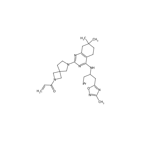 C=CC(=O)N1CC2(CCN(c3nc4c(c(NC(Cc5nc(C)no5)CC(C)C)n3)CCC(C)(C)C4)C2)C1